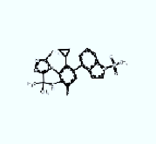 Cc1nnc2n1-c1c(c(F)cc(-c3cccc4c3ccn4S(C)(=O)=O)c1C1CC1)NC2(C)C